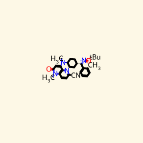 Cc1ccccc1/C(=N\OC(C)(C)C)[C@H]1CC[C@H](N(C)c2cc(=O)n(C)c3ccc(C#N)nc23)CC1